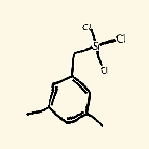 Cc1cc(C)cc(C[Si](Cl)(Cl)Cl)c1